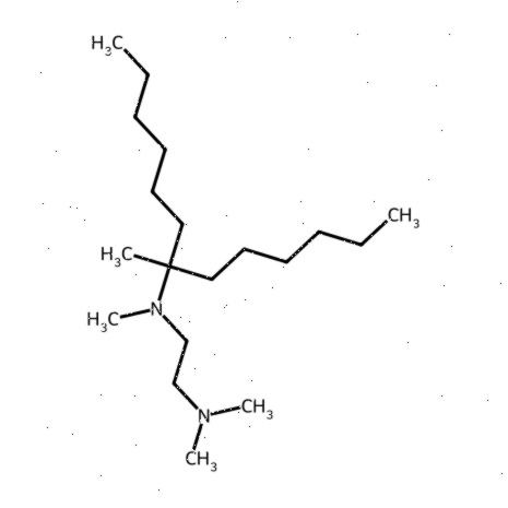 CCCCCCC(C)(CCCCCC)N(C)CCN(C)C